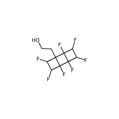 OCCC12C3(F)C4(F)C5(F)C3(F)C1(F)C5(F)C42F